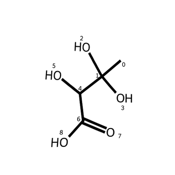 CC(O)(O)C(O)C(=O)O